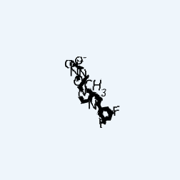 C[C@]1(CN2CCc3nc(-c4cc(F)cc(F)c4)ccc3C2)Cn2cc([N+](=O)[O-])nc2O1